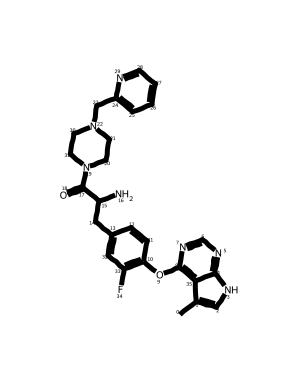 Cc1c[nH]c2ncnc(Oc3ccc(CC(N)C(=O)N4CCN(Cc5ccccn5)CC4)cc3F)c12